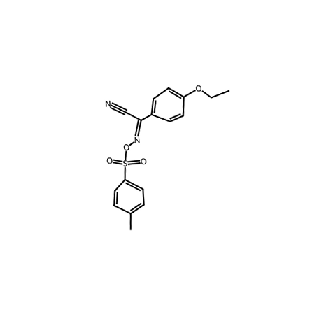 CCOc1ccc(C(C#N)=NOS(=O)(=O)c2ccc(C)cc2)cc1